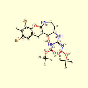 Cc1c(Br)cc(CC2C(=O)NCCC(N/C(=N/C(=O)OC(C)(C)C)NC(=O)OC(C)(C)C)C2=O)cc1Br